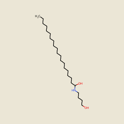 CCCCCCCCCCCCCCCCCCCC(O)NCCCCO